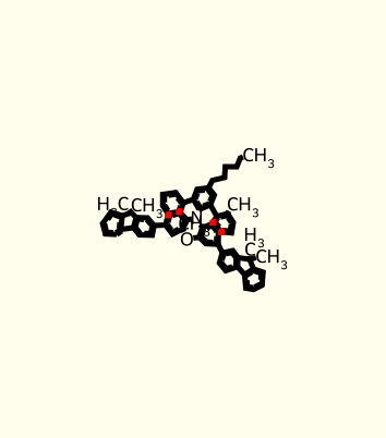 CCCCCCc1cc(-c2ccccc2C)c(N2c3ccc(-c4ccc5c(c4)C(C)(C)c4ccccc4-5)cc3Oc3cc(-c4ccc5c(c4)C(C)(C)c4ccccc4-5)ccc32)c(-c2ccccc2C)c1